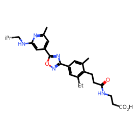 CCc1cc(-c2noc(-c3cc(C)nc(NCC(C)C)c3)n2)cc(C)c1CCC(=O)NCCC(=O)O